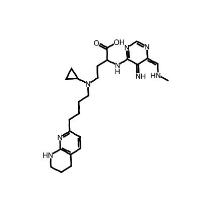 CN/C=C1/N=CN=C(NC(CCN(CCCCc2ccc3c(n2)NCCC3)C2CC2)C(=O)O)C1=N